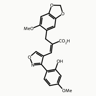 COc1ccc(-c2nocc2/C=C(\Cc2cc3c(cc2OC)OCO3)C(=O)O)c(O)c1